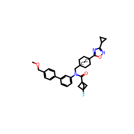 COCc1ccc(-c2cccc(N(CC34CCC(c5nc(C6CC6)no5)(CC3)CC4)C(=O)C34CC(F)(C3)C4)c2)cc1